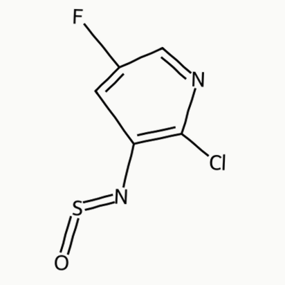 O=S=Nc1cc(F)cnc1Cl